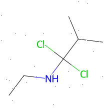 CCNC(Cl)(Cl)C(C)C